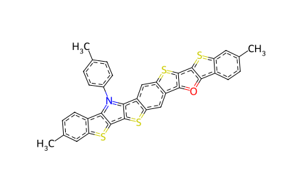 Cc1ccc(-n2c3c4ccc(C)cc4sc3c3sc4cc5c(cc4c32)sc2c5oc3c4ccc(C)cc4sc32)cc1